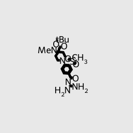 CNC1(C(=O)OC(C)(C)C)CCN(c2ccc(C(=O)N=C(N)N)cc2S(C)(=O)=O)CC1